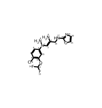 N/C(=C\N(N)c1ccc(Cl)c(OC(F)F)c1)CNc1ncco1